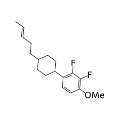 CC=CCCC1CCC(c2ccc(OC)c(F)c2F)CC1